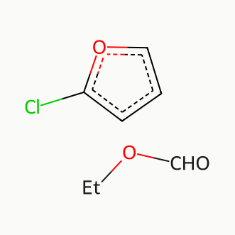 CCOC=O.Clc1ccco1